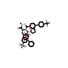 COC(=O)[C@H](Cc1ccc(-c2ccccc2)cc1)N(C(=O)c1ccc(-c2ccc(C(F)(F)F)cc2)cc1)C([C@H]1CCCN1)S(=O)(=O)c1ccc(S(C)(=O)=O)cc1